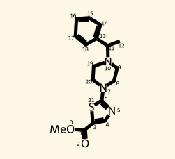 COC(=O)c1cnc(N2CCN(C(C)c3ccccc3)CC2)s1